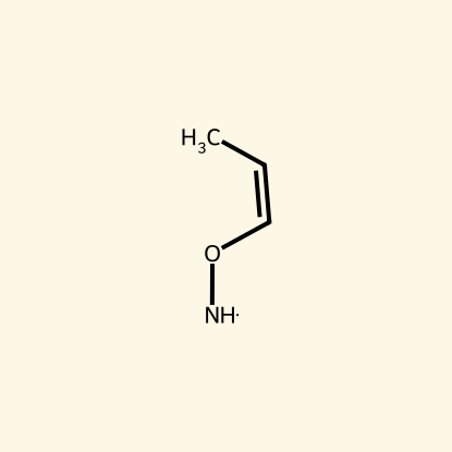 C/C=C\O[NH]